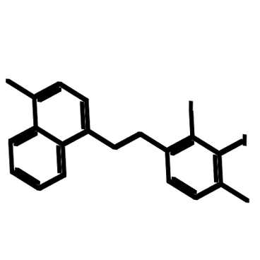 Cc1ccc(CCc2ccc(C)c3ccccc23)c(I)c1I